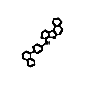 c1ccc2c(-c3ccc(Nc4cccc5c4oc4ccc6ccccc6c45)cc3)cccc2c1